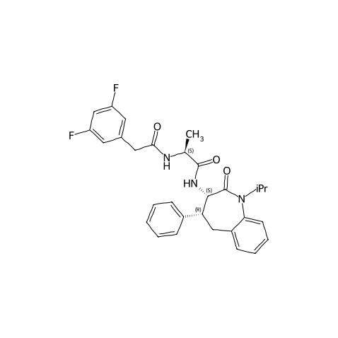 CC(C)N1C(=O)[C@@H](NC(=O)[C@H](C)NC(=O)Cc2cc(F)cc(F)c2)[C@@H](c2ccccc2)Cc2ccccc21